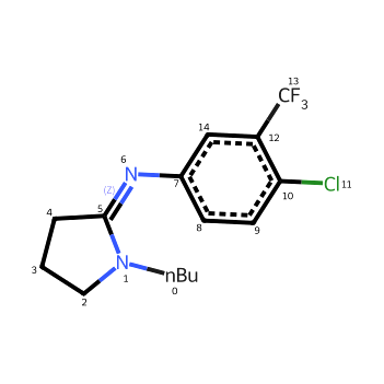 CCCCN1CCC/C1=N/c1ccc(Cl)c(C(F)(F)F)c1